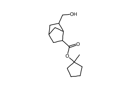 CC1(OC(=O)C2CC3CC(CO)C2C3)CCCC1